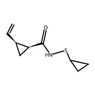 C=C[C@@H]1C[C@@H]1C(=O)NSC1CC1